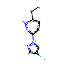 CCc1ccc(-n2cc(F)cn2)nn1